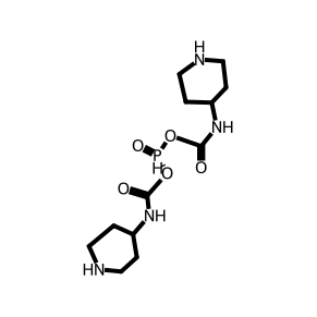 O=C(NC1CCNCC1)O[PH](=O)OC(=O)NC1CCNCC1